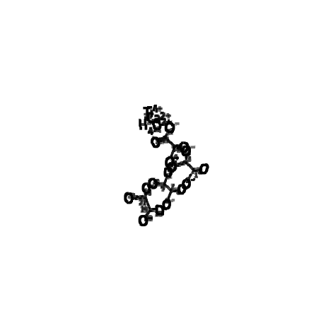 O=C([O-])C(=O)[O-].O=C([O-])C(=O)[O-].O=C([O-])C(=O)[O-].O=C([O-])C(=O)[O-].[Ca+2].[OH4+2].[Ti+4]